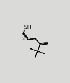 C=C(C/C=C\S)C(C)(C)C